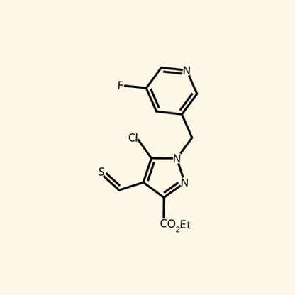 CCOC(=O)c1nn(Cc2cncc(F)c2)c(Cl)c1C=S